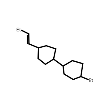 CC/C=C/C1CCC(C2CCC(CC)CC2)CC1